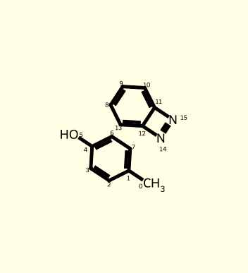 Cc1ccc(O)cc1.c1ccc2c(c1)N=N2